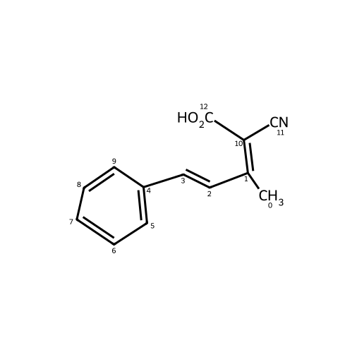 CC(C=Cc1ccccc1)=C(C#N)C(=O)O